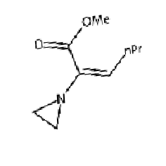 CCCC=C(C(=O)OC)N1CC1